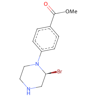 COC(=O)c1ccc(N2CCNC[C@@H]2Br)cc1